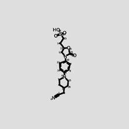 N#CCC1CCN(c2ccc(N3CC(CCS(=O)(=O)O)OC3=O)cc2)CC1